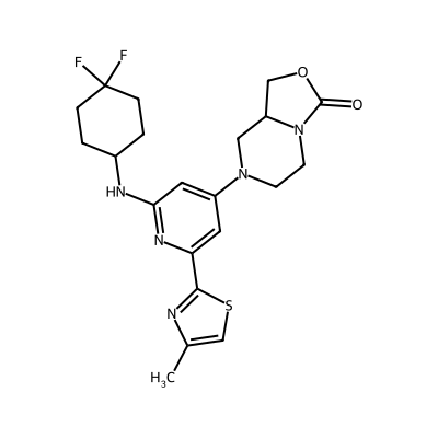 Cc1csc(-c2cc(N3CCN4C(=O)OCC4C3)cc(NC3CCC(F)(F)CC3)n2)n1